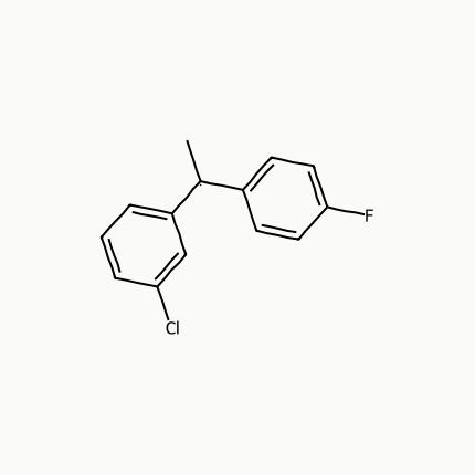 C[C](c1ccc(F)cc1)c1cccc(Cl)c1